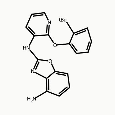 CC(C)(C)c1ccccc1Oc1ncccc1Nc1nc2c(N)cccc2o1